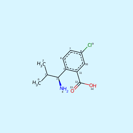 CC(C)[C@H](N)c1ccc(Cl)cc1C(=O)O